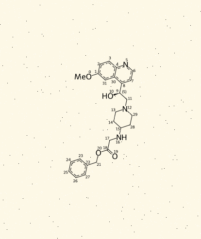 COc1ccc2nccc([C@H](O)CN3CCC(NCC(=O)OCc4ccccc4)CC3)c2c1